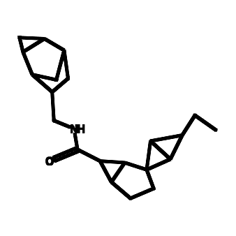 CCC1C2C1C21CCC2C(C(=O)NCC3CC4CC3C3CC43)C21